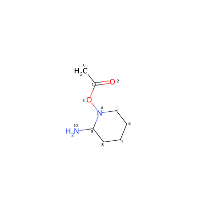 CC(=O)ON1CCCCC1N